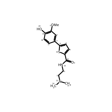 COc1cc(-c2ccc(C(=O)NCCN(C)C)s2)ccc1O